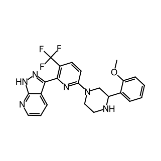 COc1ccccc1C1CN(c2ccc(C(F)(F)F)c(-c3n[nH]c4ncccc34)n2)CCN1